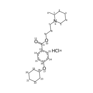 CC1CCCCN1CCCOC(=O)c1ccc(OC2CCCCC2)cc1.Cl